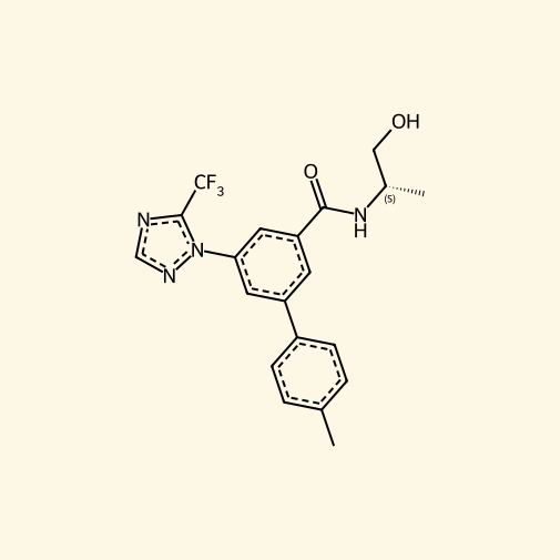 Cc1ccc(-c2cc(C(=O)N[C@@H](C)CO)cc(-n3ncnc3C(F)(F)F)c2)cc1